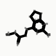 CC(C)(C)OC(=O)COc1nc(S)nc2c1CCC2